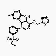 CCS(=O)(=O)c1cccc(C2=CN=C(OCc3cncs3)C3Nc4ncc(C)cc4C23)c1